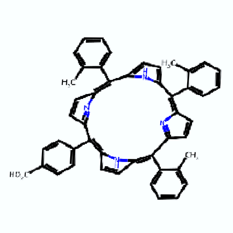 Cc1ccccc1-c1c2nc(c(-c3ccccc3C)c3ccc([nH]3)c(-c3ccccc3C)c3nc(c(-c4ccc(C(=O)O)cc4)c4ccc1[nH]4)C=C3)C=C2